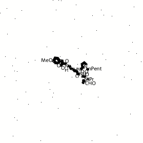 CCCCCC(=O)N1CCCC1C(=O)NC(CCCCNC(=O)c1cc2ccc(OC)cc2oc1=O)C(=O)NCC(=O)N(C(C)C)C(C)(C)C=O